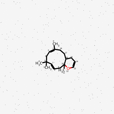 C/C1=C/CC(C)(C)/C=C/CC2(C)OC=CCC2CC1